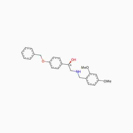 COc1ccc(CNC[C@H](O)c2ccc(OCc3ccccc3)cc2)c(OC)c1